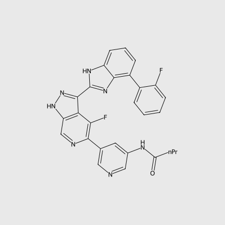 CCCC(=O)Nc1cncc(-c2ncc3[nH]nc(-c4nc5c(-c6ccccc6F)cccc5[nH]4)c3c2F)c1